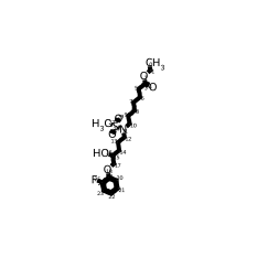 CCOC(=O)CCCCCCN(CCCC(O)COc1ccccc1F)S(C)(=O)=O